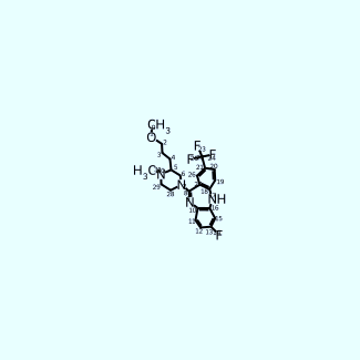 COCCCC1CN(C2=Nc3ccc(F)cc3Nc3ccc(C(F)(F)F)cc32)CCN1C